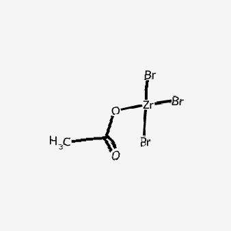 CC(=O)[O][Zr]([Br])([Br])[Br]